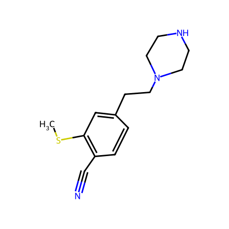 CSc1cc(CCN2CCNCC2)ccc1C#N